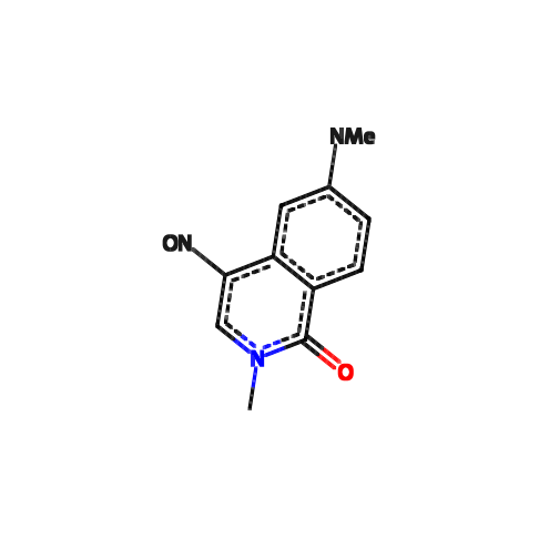 CNc1ccc2c(=O)n(C)cc(N=O)c2c1